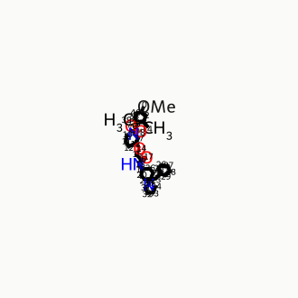 COc1cc(C)c(S(=O)(=O)N2CCCC(OCC(=O)NC3CCC(Cc4ccccc4)(N4CCCC4)CC3)C2)c(C)c1